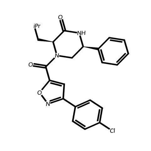 CC(C)C[C@H]1C(=O)N[C@@H](c2ccccc2)CN1C(=O)c1cc(-c2ccc(Cl)cc2)no1